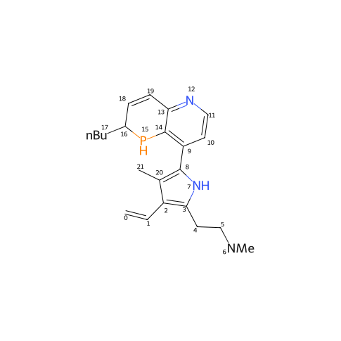 C=Cc1c(CCNC)[nH]c(-c2ccnc3c2PC(CCCC)C=C3)c1C